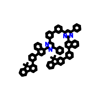 CC1(C)c2ccccc2-c2ccc(-c3cccc(-c4ccc(-c5nc(-c6ccccc6)cc(-c6cccc(-c7cccc(-c8cc(-c9ccccc9)nc(-c9ccc(-c%10cccc(-c%11cccc%12c%11C(C)(C)c%11ccccc%11-%12)c%10)c%10ccccc9%10)n8)c7)c6)n5)c5ccccc45)c3)cc21